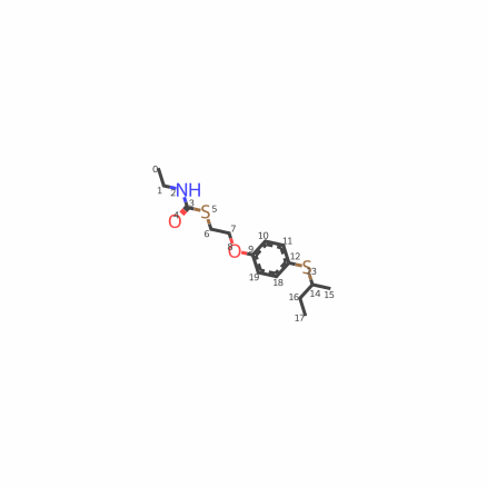 CCNC(=O)SCCOc1ccc(SC(C)CC)cc1